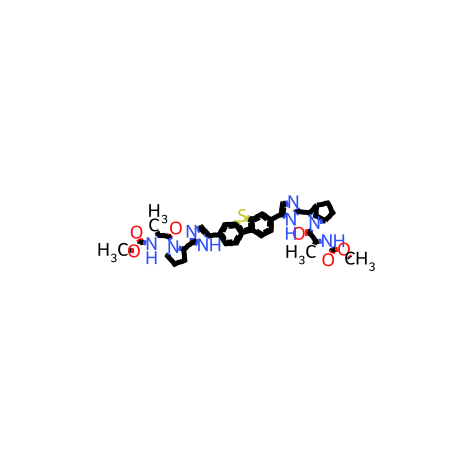 COC(=O)NC(C)C(=O)N1CCCC1c1ncc(-c2ccc3c(c2)sc2cc(-c4cnc(C5C6CCC(C6)N5C(=O)C(C)NC(=O)OC)[nH]4)ccc23)[nH]1